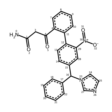 NC(=O)CC(=O)c1ccccc1-c1ccc(C(c2ccccc2)n2ccnc2)cc1[N+](=O)[O-]